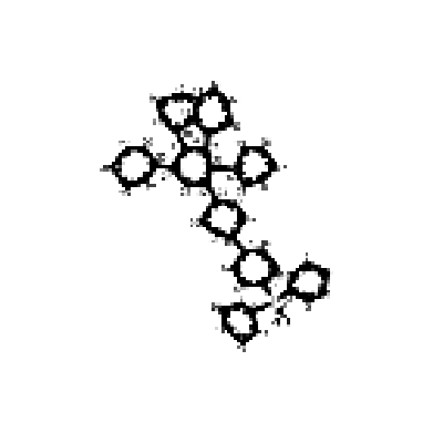 O=P(c1ccccc1)(c1ccccc1)c1ccc(-c2ccc(-c3cc(-c4ccccc4)c4c(c3-c3ccccc3)-c3cccc5cccc-4c35)cc2)cc1